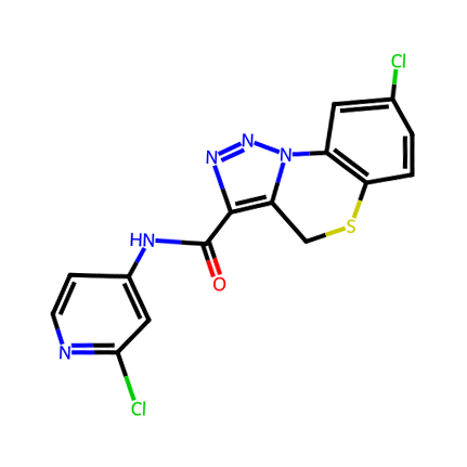 O=C(Nc1ccnc(Cl)c1)c1nnn2c1CSc1ccc(Cl)cc1-2